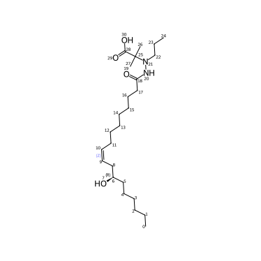 CCCCCC[C@@H](O)C/C=C\CCCCCCCC(=O)NN(CCC)C(C)(C)C(=O)O